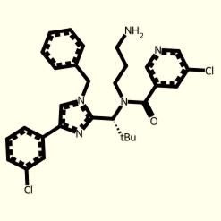 CC(C)(C)[C@H](c1nc(-c2cccc(Cl)c2)cn1Cc1ccccc1)N(CCCN)C(=O)c1cncc(Cl)c1